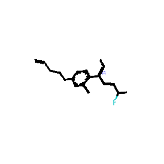 C=CCCCc1ccc(/C(=C\C)CCC(C)F)c(C)c1